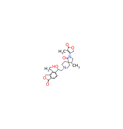 CC1=C(N2CC(C)C3(CCN(C[C@H](O)c4ccc5c(c4C)COC5=O)CC3)C2=O)COC1=O